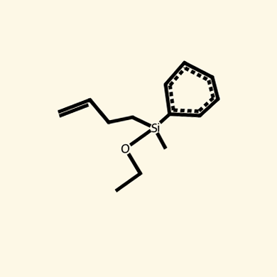 C=CCC[Si](C)(OCC)c1ccccc1